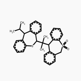 CC(C)C1c2ccccc2SC(C(C)(C)C2c3ccccc3CS(=O)(=O)c3ccccc32)c2ccccc21